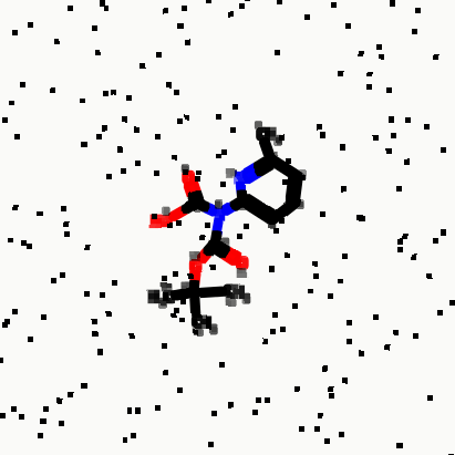 Cc1cccc(N(C(=O)O)C(=O)OC(C)(C)C)n1